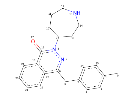 Cc1ccc(Cc2nn(C3CCCNCC3)c(=O)c3ccccc23)cc1